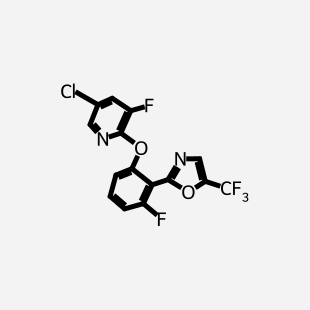 Fc1cc(Cl)cnc1Oc1cccc(F)c1-c1ncc(C(F)(F)F)o1